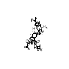 Cn1nc(C(F)F)cc1Nc1nncn1[C@H]1CCc2sc(NC(=O)C3CC3)c(C(=O)N[C@H]3C[C@@H](F)C3)c2C1